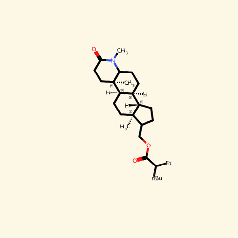 CCCCC(CC)C(=O)OCC1CC[C@H]2[C@@H]3CCC4N(C)C(=O)CC[C@]4(C)[C@@H]3CC[C@]12C